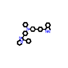 C1=CC(N(c2ccccc2)c2ccc(-c3nc4ccccn4c3-c3ccccc3)cc2)CC=C1c1ccc(-c2nncc3ccccc23)cc1